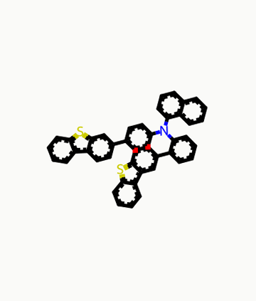 c1ccc(N(c2ccc(-c3ccc4c(c3)sc3ccccc34)cc2)c2cccc3ccccc23)c(-c2ccc3sc4ccccc4c3c2)c1